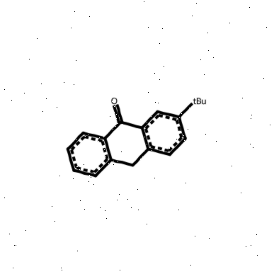 CC(C)(C)c1ccc2c(c1)C(=O)c1ccccc1C2